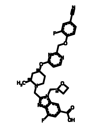 C[C@H]1C[C@@H](Oc2ccnc(COc3ccc(C#N)cc3F)n2)CCN1Cc1nc2c(F)cc(C(=O)O)cc2n1C[C@@H]1CCO1